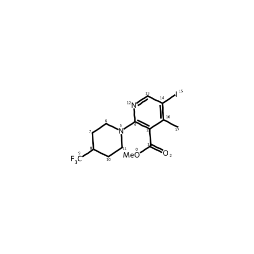 COC(=O)c1c(N2CCC(C(F)(F)F)CC2)ncc(I)c1C